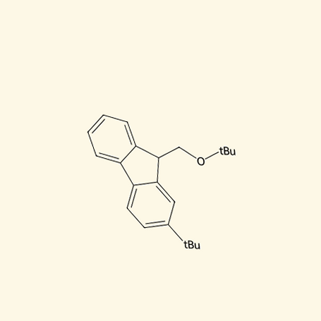 CC(C)(C)OCC1c2ccccc2-c2ccc(C(C)(C)C)cc21